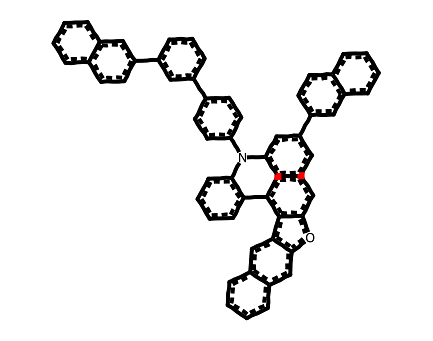 c1cc(-c2ccc(N(c3cccc(-c4ccc5ccccc5c4)c3)c3ccccc3-c3cccc4oc5cc6ccccc6cc5c34)cc2)cc(-c2ccc3ccccc3c2)c1